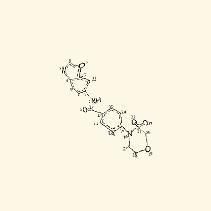 O=C(Nc1ccc2ncoc2c1)c1ccc(N2CCOCS2(=O)=O)cc1